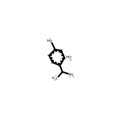 CC(N)c1ccc(O)cc1.Cl